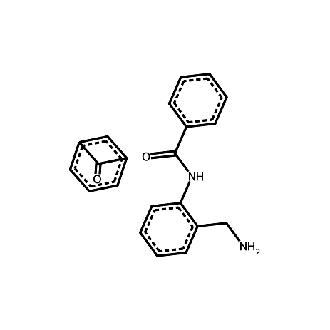 NCc1ccccc1NC(=O)c1ccccc1.O=C1c2cccc1c2